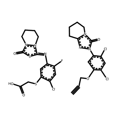 C#CCOc1cc(-n2nc3n(c2=O)CCCC3)c(Cl)cc1Cl.O=C(O)CSc1cc(N=c2sc(=O)n3n2CCCC3)c(F)cc1Cl